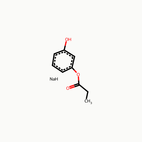 CCC(=O)Oc1cccc(O)c1.[NaH]